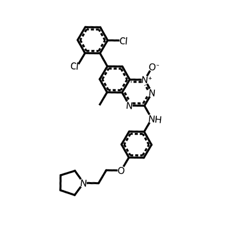 Cc1cc(-c2c(Cl)cccc2Cl)cc2c1nc(Nc1ccc(OCCN3CCCC3)cc1)n[n+]2[O-]